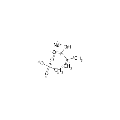 C=C(C)C(=O)O.CS(=O)(=O)[O-].[Na+]